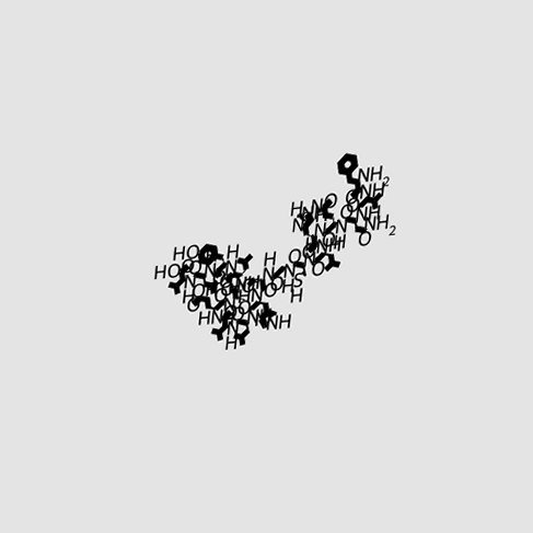 CC(C)C[C@H](NC(=O)[C@H](C)NC(=O)[C@H](CCC(=O)O)NC(=O)[C@@H](NC(=O)[C@H](CC(C)C)NC(=O)[C@H](Cc1c[nH]cn1)NC(=O)[C@H](CO)NC(=O)CNC(=O)[C@H](CS)NC(=O)[C@H](CC(C)C)NC(=O)[C@H](Cc1c[nH]cn1)NC(=O)[C@H](CCC(N)=O)NC(=O)[C@H](CC(N)=O)NC(=O)[C@@H](NC(=O)[C@@H](N)Cc1ccccc1)C(C)C)C(C)C)C(=O)N[C@@H](Cc1ccc(O)cc1)C(=O)N[C@@H](CC(C)C)C(=O)N[C@H](C(=O)O)C(C)C